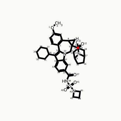 COc1ccc2c(c1)C1CC1(C(=O)N1C3CCC1CN(C)C3)Cn1c-2c(C2CCCCC2)c2ccc(C(=O)NS(=O)(=O)N3CCC3)cc21